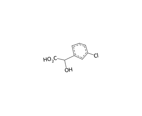 O=C(O)C(O)c1cccc(Cl)c1